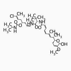 COC1=CC[C@@H]([C@@H](C)/C=C(C)/C=C\C=C/C(=O)N[C@H](C(=O)N/C=C\C[C@H](C/C=C(\C)Cl)OC(=O)NC(C)C)C(C)(C)C)O[C@H]1O